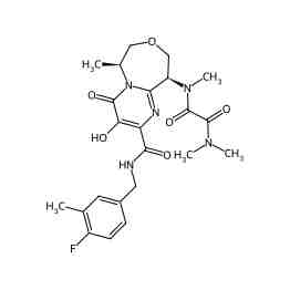 Cc1cc(CNC(=O)c2nc3n(c(=O)c2O)[C@@H](C)COC[C@H]3N(C)C(=O)C(=O)N(C)C)ccc1F